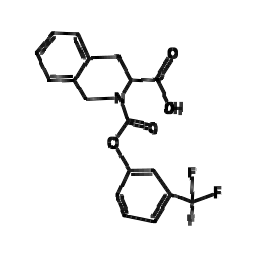 O=C(O)C1Cc2ccccc2CN1C(=O)Oc1cccc(C(F)(F)F)c1